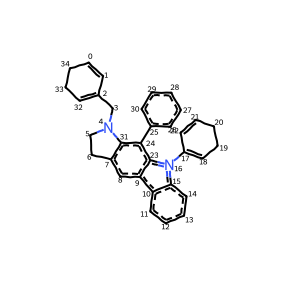 C1=CC(CN2CCc3cc4c5ccccc5n(C5=CCCC=C5)c4c(-c4ccccc4)c32)=CCC1